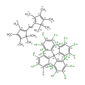 CC1=C(C)C(C)(C)[C]([Nd+][C]2=C(C)C(C)=C(C)C2(C)C)=C1C.Fc1c(F)c(F)c([B-](c2c(F)c(F)c(F)c(F)c2F)(c2c(F)c(F)c(F)c(F)c2F)c2c(F)c(F)c(F)c(F)c2F)c(F)c1F